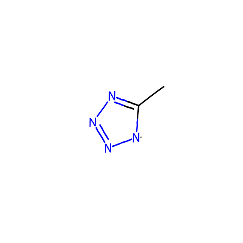 CC1=NN=N[N]1